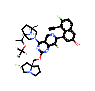 [2H]C([2H])([2H])OC(C)[C@]12CC[C@H](CN(c3nc(OC[C@@]45CCCN4C[C@H](F)C5)nc4c(F)c(-c5cc(O)cc6ccc(F)c(C#C)c56)ncc34)C1)N2